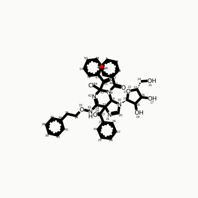 O=C(c1ccccc1)N1C2N([C@@H]3O[C@H](CO)C(O)C3O)C=NC2(C(=O)c2ccccc2)C(NOCCc2ccccc2)=NC1(Cl)C(=O)c1ccccc1